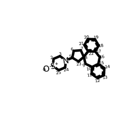 [O-][S+]1CCN(C2CCC3(Cc4ccccc4Cc4ccccc43)C2)CC1